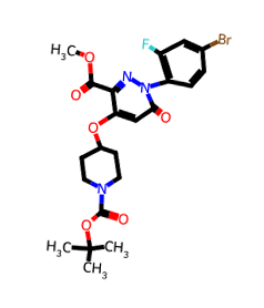 COC(=O)c1nn(-c2ccc(Br)cc2F)c(=O)cc1OC1CCN(C(=O)OC(C)(C)C)CC1